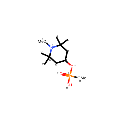 CON1C(C)(C)CC(OP(=O)(O)OC)CC1(C)C